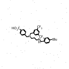 CC(C)(C)c1ccc(CNCCCN(Cc2ccc(C(=O)O)cc2)Cc2cc(C(F)(F)F)cc(C(F)(F)F)c2)cc1